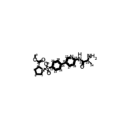 COC(=O)[C@@H]1CCCN1S(=O)(=O)c1ccc(-c2ccc(NC(=O)[C@H](C)N)nc2)cc1